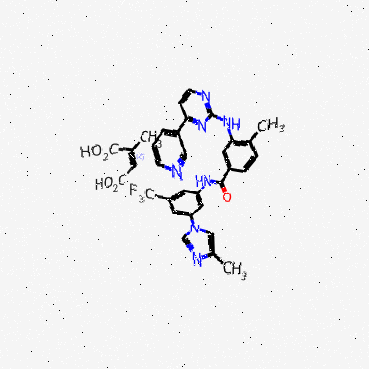 C/C(=C/C(=O)O)C(=O)O.Cc1cn(-c2cc(NC(=O)c3ccc(C)c(Nc4nccc(-c5cccnc5)n4)c3)cc(C(F)(F)F)c2)cn1